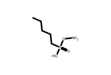 CCCCCP(=O)(O)ON